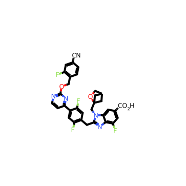 N#Cc1ccc(COc2nccc(-c3cc(F)c(Cc4nc5c(F)cc(C(=O)O)cc5n4CC45CC(CO4)C5)cc3F)n2)c(F)c1